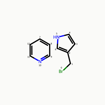 BrCc1cc[nH]c1.c1ccncc1